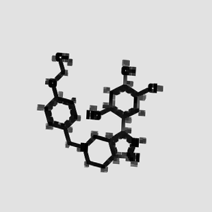 CCOc1ccc(CN2CCc3[nH]nc(-c4cc(Cl)c(O)cc4O)c3C2)cc1